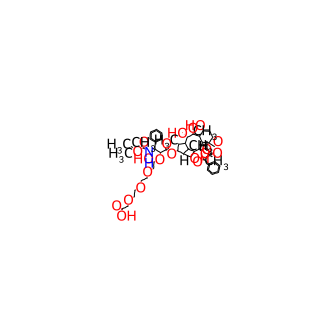 CC(=O)O[C@]12COC1CC(O)C1(C)C(=O)[C@@H](O)C3C(C)[C@H](OC(=O)[C@@H](OC(O)COCCOCCOCC(=O)O)[C@H](NC(=O)OC(C)(C)C)c4ccccc4)[C@@H]4CC(O)([C@H](OC(=O)c5ccccc5)[C@H]12)C34C